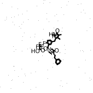 Cc1c(Cc2ccc(F)c(C(=O)N3CCN(CCc4ccccc4)C(=O)C3)c2)n[nH]c(=O)c1C.O=C(O)C(F)(F)F